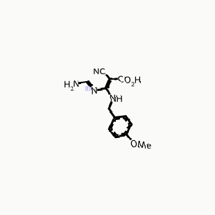 COc1ccc(CNC(/N=C/N)=C(C#N)C(=O)O)cc1